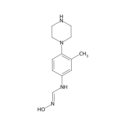 Cc1cc(N/C=N/O)ccc1N1CCNCC1